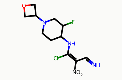 N=C/C(=C(/Cl)NC1CCN(C2COC2)CC1F)[N+](=O)[O-]